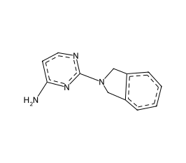 Nc1ccnc(N2Cc3ccccc3C2)n1